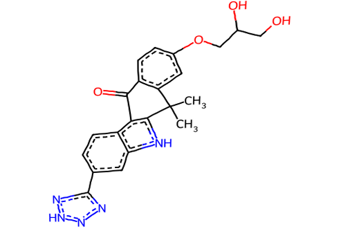 CC1(C)c2cc(OCC(O)CO)ccc2C(=O)c2c1[nH]c1cc(-c3nn[nH]n3)ccc21